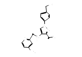 N#Cc1ccnc(C(=O)Nc2cn(-c3ccc(CO)cc3)nc2C(N)=O)c1